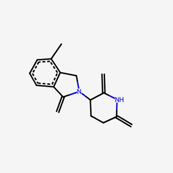 C=C1CCC(N2Cc3c(C)cccc3C2=C)C(=C)N1